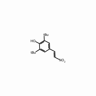 CC(C)(C)c1cc(C=C[N+](=O)[O-])cc(C(C)(C)C)c1O